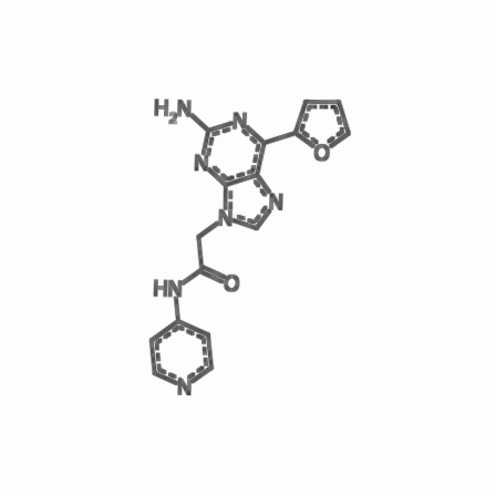 Nc1nc(-c2ccco2)c2ncn(CC(=O)Nc3ccncc3)c2n1